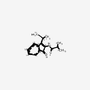 CC(C)C(=O)NC1=C(C(C)C)c2ccccc2C1=O